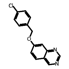 Clc1ccc(COc2ccc3cncnc3c2)cc1